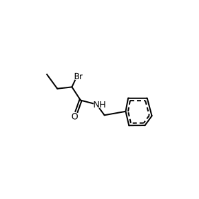 CCC(Br)C(=O)NCc1ccccc1